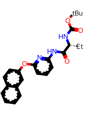 CC[C@@H](NC(=O)OC(C)(C)C)C(=O)Nc1cccc(Oc2ccc3ccccc3c2)n1